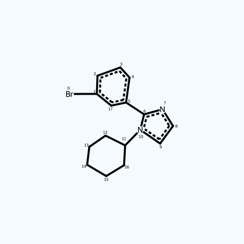 Brc1cccc(-c2nccn2C2CCCCC2)c1